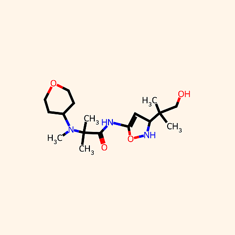 CN(C1CCOCC1)C(C)(C)C(=O)NC1=CC(C(C)(C)CO)NO1